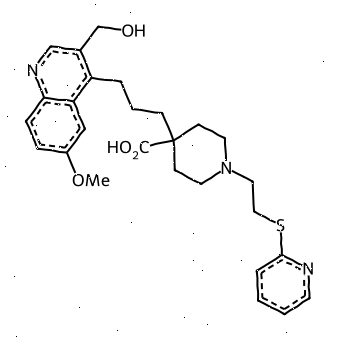 COc1ccc2ncc(CO)c(CCCC3(C(=O)O)CCN(CCSc4ccccn4)CC3)c2c1